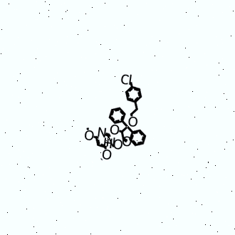 COc1cc(OC)nc(OC(C(=O)O)C(OCCc2ccc(Cl)cc2)(c2ccccc2)c2ccccc2)n1